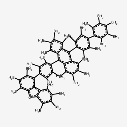 Bc1c(B)c(B)c(-c2c(B)c(B)c(-c3c4c(B)c(B)c(B)c(B)c4c(-c4c(B)c(B)c(-c5c(B)c(B)c(B)c6oc7c(B)c(B)c(B)c(B)c7c56)c(B)c4B)c4c(B)c(B)c(B)c(B)c34)c(B)c2B)c(B)c1B